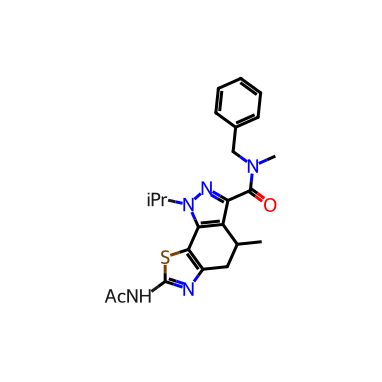 CC(=O)Nc1nc2c(s1)-c1c(c(C(=O)N(C)Cc3ccccc3)nn1C(C)C)C(C)C2